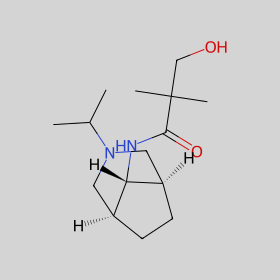 CC(C)N1C[C@H]2CC[C@@H](C1)[C@@H]2NC(=O)C(C)(C)CO